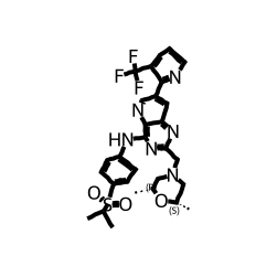 CC(C)S(=O)(=O)c1ccc(Nc2nc(CN3C[C@@H](C)O[C@@H](C)C3)nc3cc(-c4ncccc4C(F)(F)F)cnc23)cc1